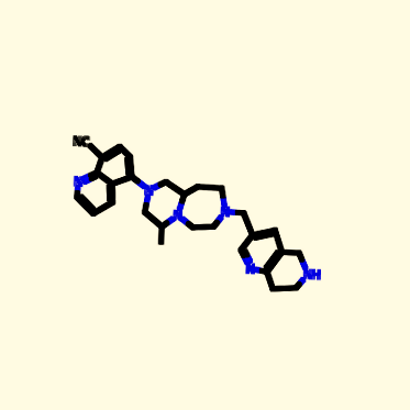 CC1CN(c2ccc(C#N)c3ncccc23)CC2CCN(Cc3cnc4c(c3)CNCC4)CCN12